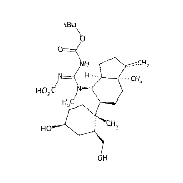 C=C1CC[C@@H]2[C@H](N(C)/C(=N\C(=O)O)NC(=O)OC(C)(C)C)[C@H]([C@@]3(C)CC[C@H](O)C[C@@H]3CO)CC[C@]12C